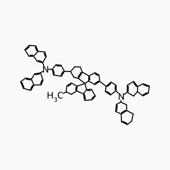 CC1C=CC2=C(C1)c1ccccc1C21C2=C(CCC(c3ccc(N(c4ccc5ccccc5c4)c4ccc5ccccc5c4)cc3)C2)c2ccc(-c3ccc(N(C4=CC=C5C=CC=CC5C4)C4C=CC5=C(CCC=C5)C4)cc3)cc21